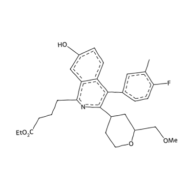 CCOC(=O)CCCc1nc(C2CCOC(COC)C2)c(-c2ccc(F)c(C)c2)c2ccc(O)cc12